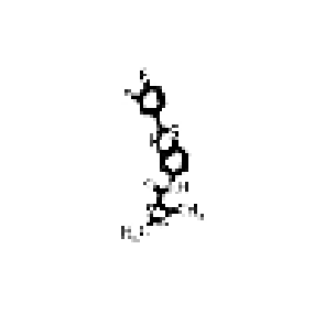 Cc1nc(C)c(C(=O)Nc2ccc3sc(-c4ccc(F)c(F)c4)nc3c2)s1